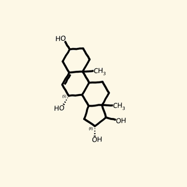 CC12CCC(O)CC1=C[C@@H](O)C1C2CCC2(C)C1C[C@@H](O)C2O